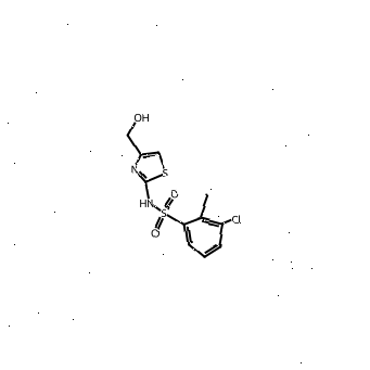 Cc1c(Cl)cccc1S(=O)(=O)Nc1nc(CO)cs1